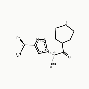 CC[C@H](N)c1cn([C@H](C(=O)C2CCNCC2)[C@@H](C)CC)nn1